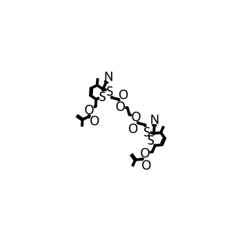 C=C(C)C(=O)OCC1C=CC(C)C(C#N)(SCC(=O)OCCOC(=O)CSC2(C#N)SC(COC(=O)C(=C)C)C=CC2C)S1